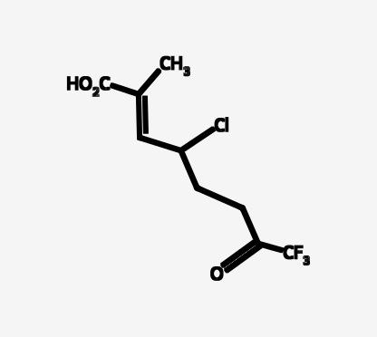 CC(=CC(Cl)CCC(=O)C(F)(F)F)C(=O)O